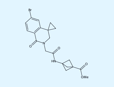 COC(=O)C12CC(NC(=O)CN3CC4(CC4)c4cc(Br)ccc4C3=O)(C1)C2